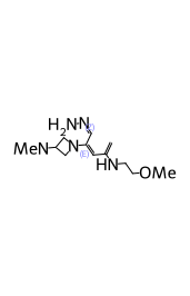 C=C(/C=C(\C=N/N)N1CC(NC)C1)NCCOC